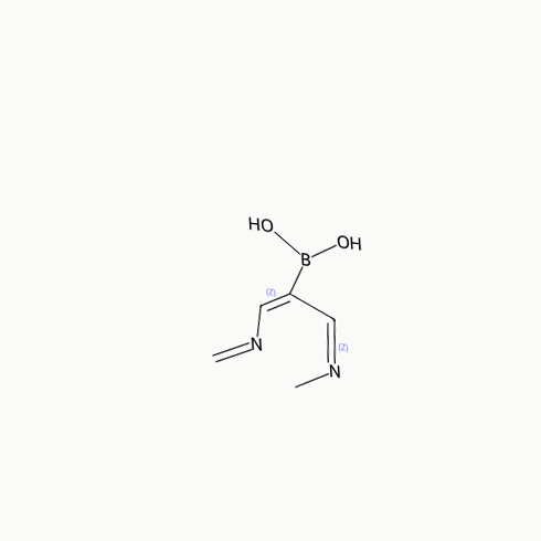 C=N/C=C(\C=N/C)B(O)O